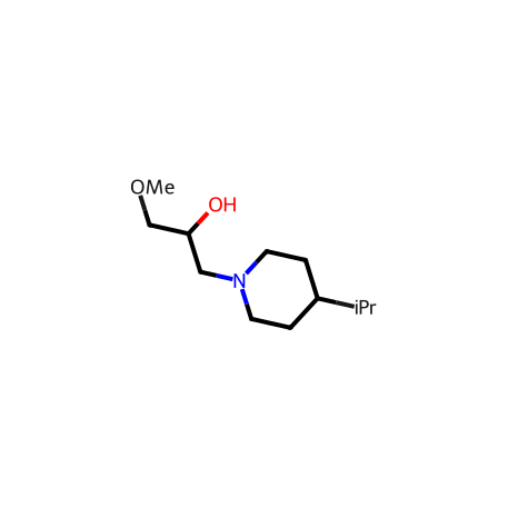 COCC(O)CN1CCC(C(C)C)CC1